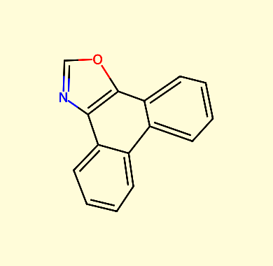 c1ccc2c(c1)c1ccccc1c1ocnc21